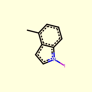 Cc1cccc2c1ccn2I